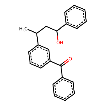 CC(CC(O)c1ccccc1)c1cccc(C(=O)c2ccccc2)c1